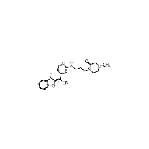 CN1CCN(CCCNc2nccc(/C(C#N)=C3\Nc4ccccc4O3)n2)C(=O)C1